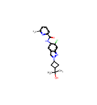 CC(C)(O)C1CC(n2cc3cc(NC(=O)c4cccc(C(F)(F)F)n4)c(Cl)cc3n2)C1